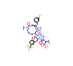 COC(=O)C(NC(=O)NC(Cc1cccc(C(F)(F)F)c1)C(=O)NC1CCCCNC(=O)/C=C/[C@H](Cc2cccc(F)c2)NC1=O)C(C)C